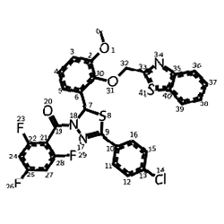 COc1cccc(C2SC(c3ccc(Cl)cc3)=NN2C(=O)c2c(F)cc(F)cc2F)c1OCc1nc2ccccc2s1